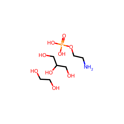 NCCOP(=O)(O)O.OCC(O)CO.OCCO